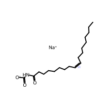 CCCCCCCC/C=C\CCCCCCCC(=O)NC(=O)[O-].[Na+]